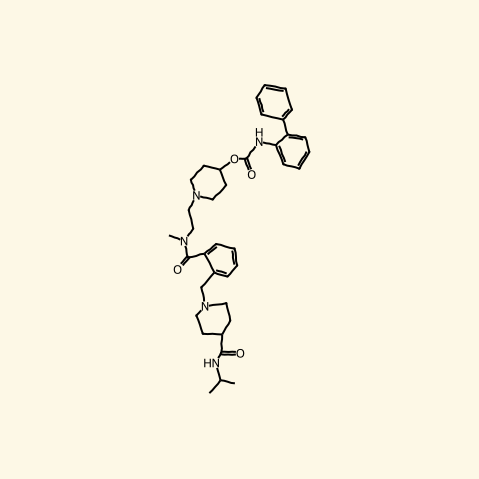 CC(C)NC(=O)C1CCN(Cc2ccccc2C(=O)N(C)CCN2CCC(OC(=O)Nc3ccccc3-c3ccccc3)CC2)CC1